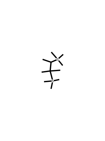 CC(C(C)(C)S(C)(C)C)S(C)(C)C